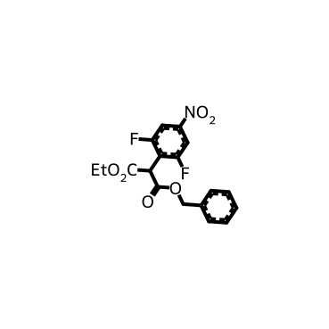 CCOC(=O)C(C(=O)OCc1ccccc1)c1c(F)cc([N+](=O)[O-])cc1F